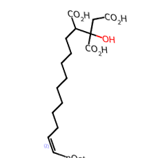 CCCCCCCC/C=C\CCCCCCCCC(C(=O)O)C(O)(CC(=O)O)C(=O)O